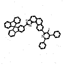 Ic1c(-c2ccccc2)cc(-c2ccccc2)nc1-c1ccc2c(ccc3ccc4sc(-c5ccc6c(c5)C5(c7ccccc7-c7ccccc75)C5C=CC=CC65)nc4c32)c1